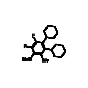 CCCc1c(OC)c(F)c(F)c(C2CCCCC2)c1C1CCCCC1